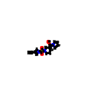 N#CC1CN(S(=O)(=O)N2CCC[C@H](C(=O)N3CCCC3)C2)C1